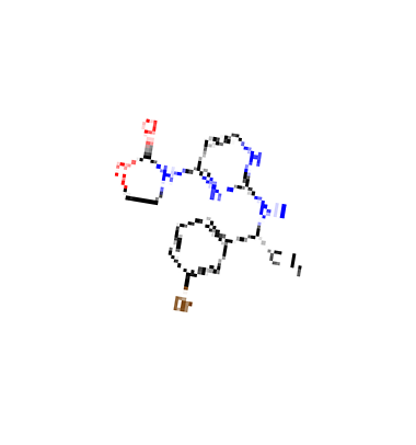 C[C@@H](Nc1nccc(N2CCOC2=O)n1)c1cccc(Br)c1